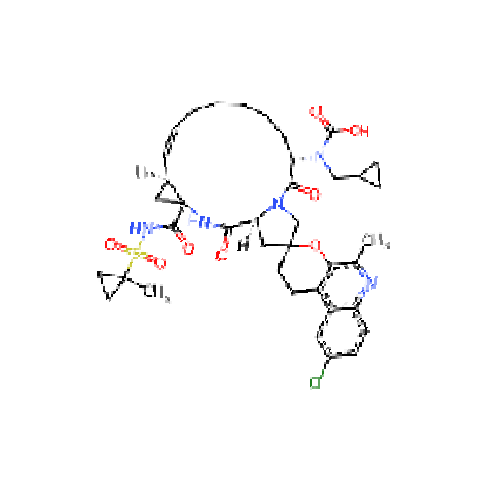 Cc1nc2ccc(Cl)cc2c2c1O[C@]1(CC2)C[C@H]2C(=O)N[C@]3(C(=O)NS(=O)(=O)C4(C)CC4)C[C@H]3/C=C\CCCCC[C@H](N(CC3CC3)C(=O)O)C(=O)N2C1